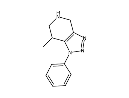 CC1CNCc2nnn(-c3ccccc3)c21